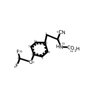 N#CC(Cc1ccc(OC(F)F)cc1)NC(=O)O